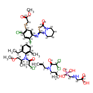 C=CCN(CC=C)C(=O)C(Cl)Cl.CCc1cccc(C)c1N(C(=O)CCl)C(C)COC.COC(=O)CSc1cc(/N=c2\sc(=O)n3n2CCCC3)c(F)cc1Cl.O=C(O)CNCP(=O)(O)O